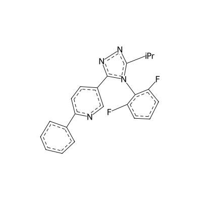 CC(C)c1nnc(-c2ccc(-c3ccccc3)nc2)n1-c1c(F)cccc1F